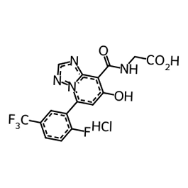 Cl.O=C(O)CNC(=O)c1c(O)cc(-c2cc(C(F)(F)F)ccc2F)n2ncnc12